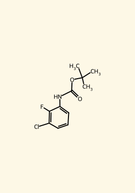 CC(C)(C)OC(=O)Nc1cccc(Cl)c1F